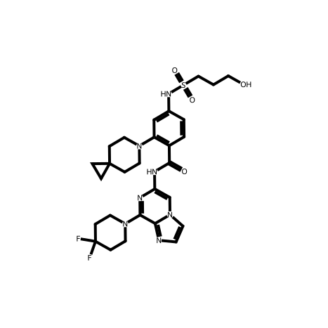 O=C(Nc1cn2ccnc2c(N2CCC(F)(F)CC2)n1)c1ccc(NS(=O)(=O)CCCO)cc1N1CCC2(CC1)CC2